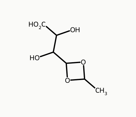 CC1OC(C(O)C(O)C(=O)O)O1